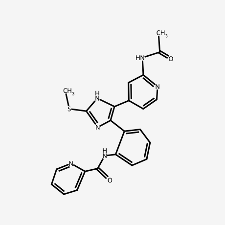 CSc1nc(-c2ccccc2NC(=O)c2ccccn2)c(-c2ccnc(NC(C)=O)c2)[nH]1